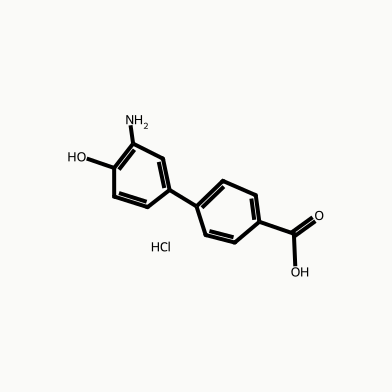 Cl.Nc1cc(-c2ccc(C(=O)O)cc2)ccc1O